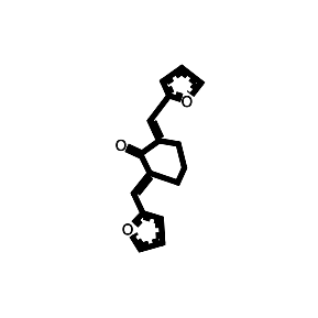 O=C1/C(=C/c2ccco2)CCC/C1=C\c1ccco1